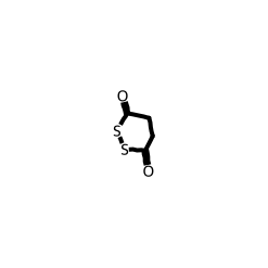 O=C1CCC(=O)SS1